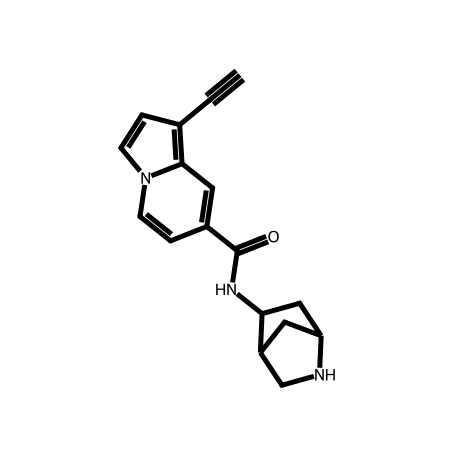 C#Cc1ccn2ccc(C(=O)NC3CC4CC3CN4)cc12